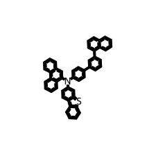 c1cc(-c2ccc(N(c3ccc4c(c3)sc3ccccc34)c3cc4ccccc4c4ccccc34)cc2)cc(-c2cccc3ccccc23)c1